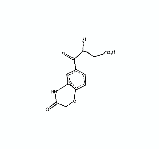 CCC(CC(=O)O)C(=O)c1ccc2c(c1)NC(=O)CO2